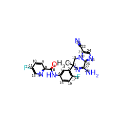 CC1(c2cc(NC(=O)c3ccc(F)cn3)ccc2F)Cn2c(C#N)cnc2C(N)=N1